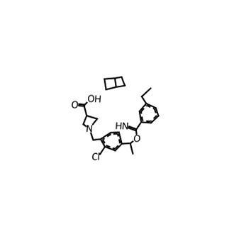 C1CC2CCC12.CCc1cccc(C(=N)OC(C)c2ccc(CN3CC(C(=O)O)C3)c(Cl)c2)c1